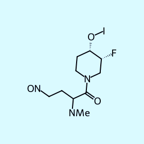 CNC(CCN=O)C(=O)N1CC[C@H](OI)[C@H](F)C1